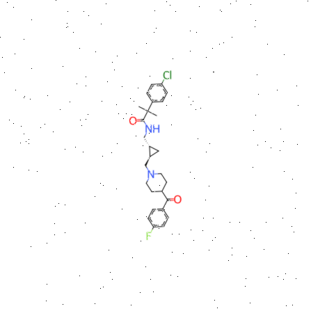 CC(C)(C(=O)NC[C@@H]1C[C@H]1CN1CCC(C(=O)c2ccc(F)cc2)CC1)c1ccc(Cl)cc1